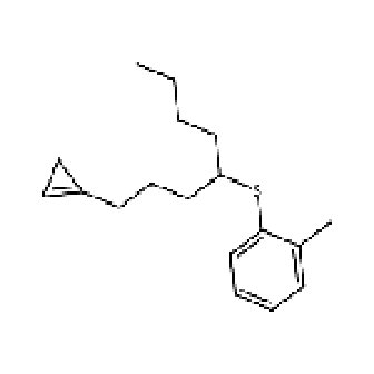 CCCCC(CCCC1=CC1)Sc1ccccc1C